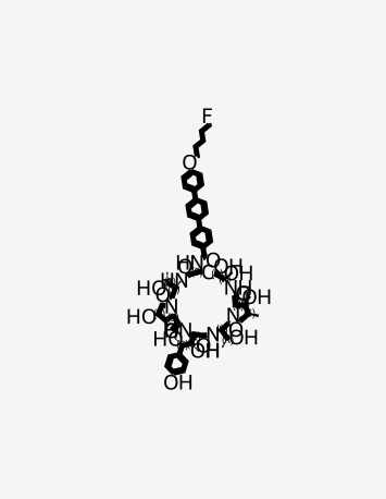 C[C@@H](O)[C@@H]1NC(=O)[C@H]([C@H](O)[C@@H](O)c2ccc(O)cc2)NC(=O)[C@@H]2C[C@@H](O)CN2C(=O)[C@H]([C@@H](C)O)NC(=O)[C@@H](NC(=O)c2ccc(-c3ccc(-c4ccc(OCCCCCF)cc4)cc3)cc2)C[C@@H](O)[C@@H](O)NC(=O)[C@@H]2[C@@H](O)[C@@H](C)CN2C1=O